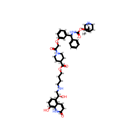 O=C(NC(c1ccccc1)c1cccc(OCC(=O)N2CCC(C(=O)OCCCCNC[C@@H](O)c3ccc(O)c4[nH]c(=O)ccc34)CC2)c1)O[C@H]1CN2CCC1CC2